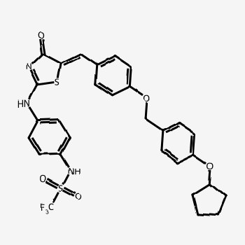 O=C1N=C(Nc2ccc(NS(=O)(=O)C(F)(F)F)cc2)SC1=Cc1ccc(OCc2ccc(OC3CCCC3)cc2)cc1